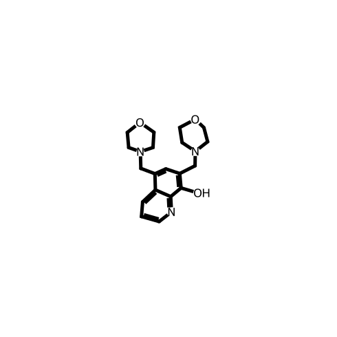 Oc1c(CN2CCOCC2)cc(CN2CCOCC2)c2cccnc12